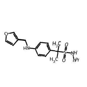 CCCNS(=O)(=O)C(C)(C)c1ccc(NCc2ccoc2)cc1